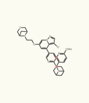 COc1ccc(CN2C3CC2CN(c2ccc(-c4cc(OCCN5C6COCC5C6)cn5ncc(Cl)c45)cn2)C3)cn1